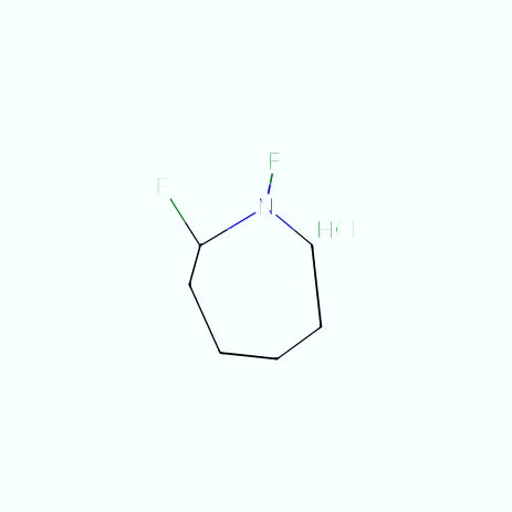 Cl.FC1CCCCCN1F